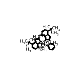 CC1=Cc2c(C(C)(C)C)ccc(C)c2[CH]1[Zr]([Cl])([Cl])([CH]1C(C)=Cc2c(C(C)(C)C)ccc(C)c21)=[Si](C)c1ccccc1